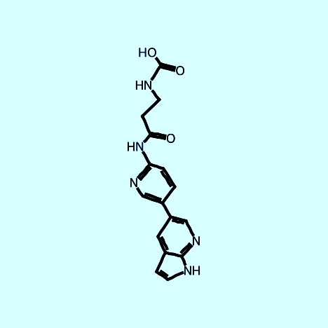 O=C(O)NCCC(=O)Nc1ccc(-c2cnc3[nH]ccc3c2)cn1